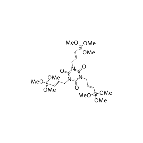 CO[Si](C=CCn1c(=O)n(CC=C[Si](OC)(OC)OC)c(=O)n(CC=C[Si](OC)(OC)OC)c1=O)(OC)OC